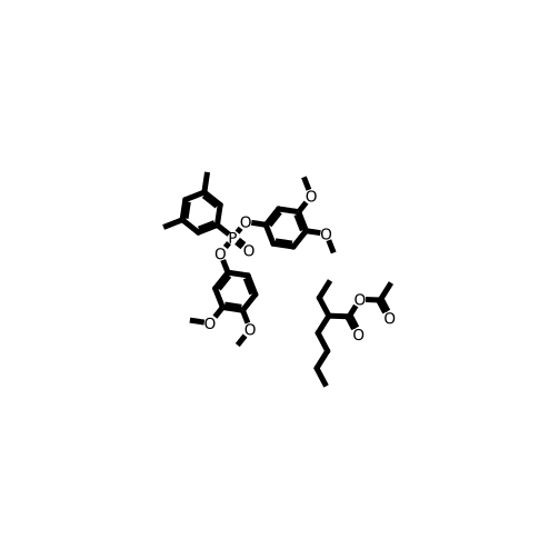 CCCCC(CC)C(=O)OC(C)=O.COc1ccc(OP(=O)(Oc2ccc(OC)c(OC)c2)c2cc(C)cc(C)c2)cc1OC